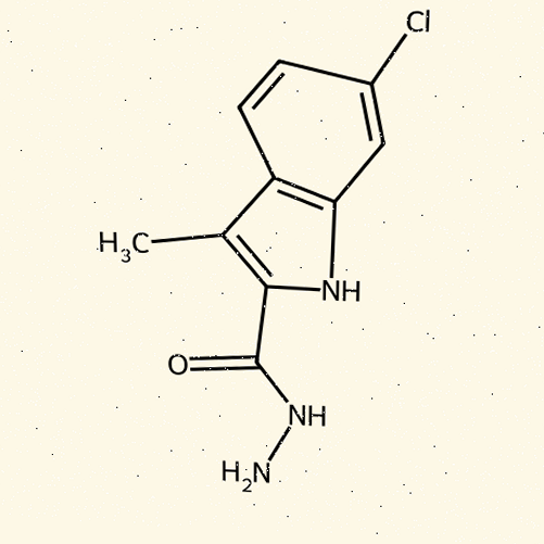 Cc1c(C(=O)NN)[nH]c2cc(Cl)ccc12